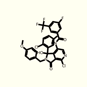 COc1ccc(CN2C(=O)c3c(Cl)ncc(NC(=O)c4cc(F)cc(C(F)(F)F)c4)c3C2(O)c2cc(F)ccc2Cl)cc1